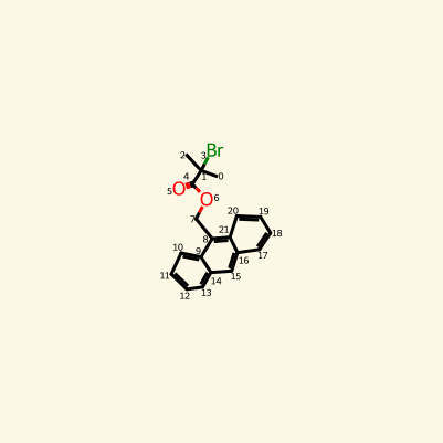 CC(C)(Br)C(=O)OCc1c2ccccc2cc2ccccc12